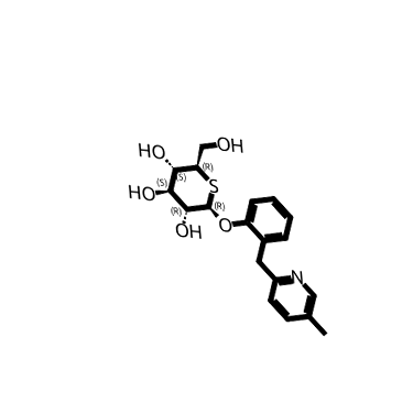 Cc1ccc(Cc2ccccc2O[C@@H]2S[C@H](CO)[C@@H](O)[C@H](O)[C@H]2O)nc1